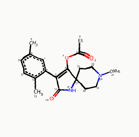 CCC(=O)OC1=C(c2cc(C)ccc2C)C(=O)NC12CCN(OC)CC2